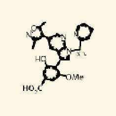 COc1cc(C(=O)O)cc(O)c1-c1cn([C@@H](C)c2ccccn2)c2ncc(-c3c(C)noc3C)cc12